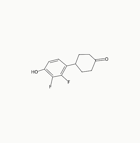 O=C1CCC(c2ccc(O)c(F)c2F)CC1